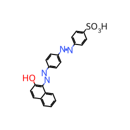 O=S(=O)(O)c1ccc(N=Nc2ccc(N=Nc3c(O)ccc4ccccc34)cc2)cc1